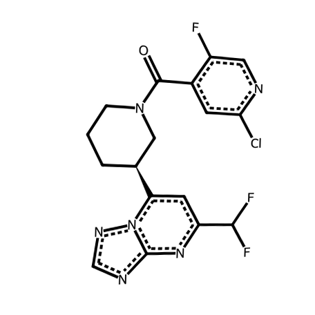 O=C(c1cc(Cl)ncc1F)N1CCC[C@H](c2cc(C(F)F)nc3ncnn23)C1